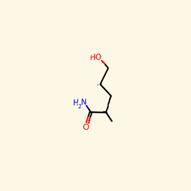 CC(C[CH]CO)C(N)=O